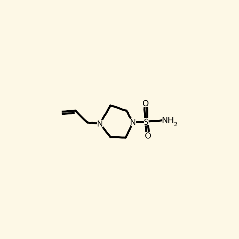 C=CCN1CCN(S(N)(=O)=O)CC1